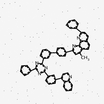 Cc1cc(-c2ccc(-c3cccc(-c4nc(-c5ccccc5)nc(-c5cccc(-c6ccnc7ccccc67)c5)n4)c3)cc2)nc2c1ccc1ccc(-c3ccccc3)nc12